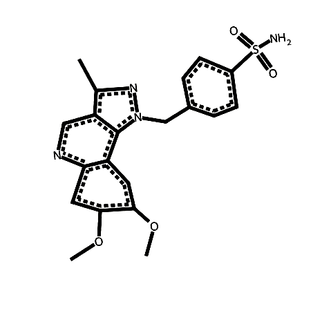 COc1cc2ncc3c(C)nn(Cc4ccc(S(N)(=O)=O)cc4)c3c2cc1OC